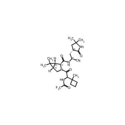 CC1(C)C[C@@H](C[C@@H](C#N)NC(=O)[C@@H]2[C@@H]3[C@H](CN2C(=O)C(NC(=O)C(F)(F)F)C2(C)CCC2)C3(C)C)C(=O)N1